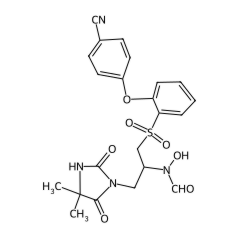 CC1(C)NC(=O)N(CC(CS(=O)(=O)c2ccccc2Oc2ccc(C#N)cc2)N(O)C=O)C1=O